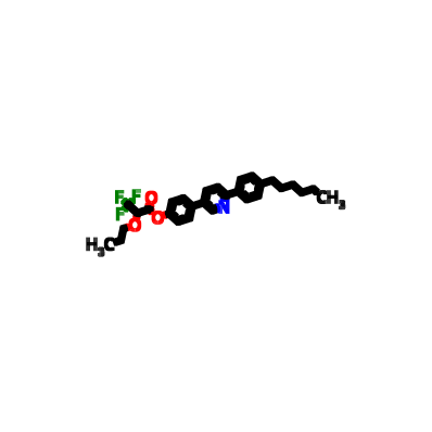 CCCCCCc1ccc(-c2ccc(-c3ccc(OC(=O)C(OCCC)C(F)(F)F)cc3)cn2)cc1